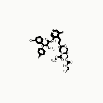 CC(C)(C)OC(=O)N1C[C@@H](CCc2c(F)cncc2NC(=O)[C@@H](N)[C@@H](c2ccc(F)cc2)c2cccc(Cl)c2)OC[C@H]1COC(=O)NCC(F)(F)F